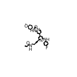 C=CC(=O)NCCC#Cc1cc(-c2ccnc(NC(=O)[C@H]3CC[C@@H](OC)CC3)c2)cc(Nc2ccc(F)cc2)n1